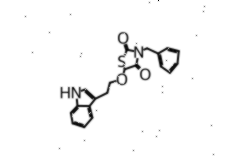 O=C1SC(OCCc2c[nH]c3ccccc23)C(=O)N1Cc1ccccc1